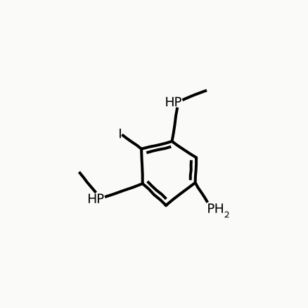 CPc1cc(P)cc(PC)c1I